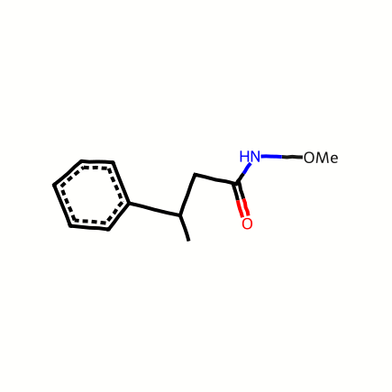 CONC(=O)CC(C)c1ccccc1